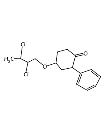 CC(Cl)C(Cl)COC1CCC(=O)C(c2ccccc2)C1